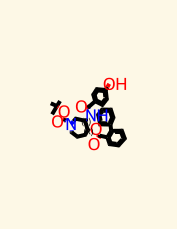 CC(C)(C)OC(=O)N1CCC[C@@H](OC(=O)c2ccccc2-c2ccccc2)[C@H](NC(=O)c2ccc(O)cc2)C1